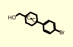 OCC12CCC(c3ccc(Br)cc3)(CC1)CC2